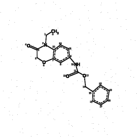 CCN1C(=O)COc2cc(NC(=O)OCc3ccccc3)ccc21